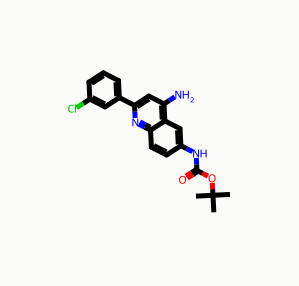 CC(C)(C)OC(=O)Nc1ccc2nc(-c3cccc(Cl)c3)cc(N)c2c1